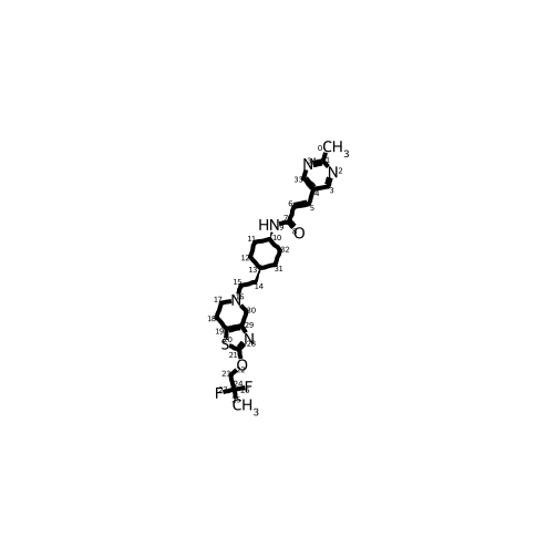 Cc1ncc(/C=C/C(=O)N[C@H]2CC[C@H](CCN3CCc4sc(OCC(C)(F)F)nc4C3)CC2)cn1